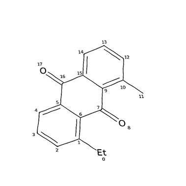 CCc1cccc2c1C(=O)c1c(C)cccc1C2=O